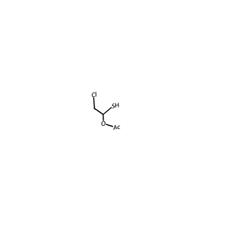 CC(=O)OC(S)CCl